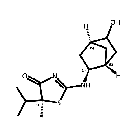 CC(C)[C@]1(C)SC(N[C@H]2C[C@@H]3C[C@@H]2CC3O)=NC1=O